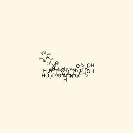 C=C1[C@H](C(O)O)CO[C@H]1n1ccc(NC(=O)O[C@H](C(=O)O)[C@H](C)N(N)C(=O)CCC2CCCCC2)nc1=O